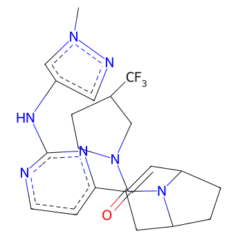 Cn1cc(Nc2nccc(C3=CC4CCC(C3)N4C(=O)N3CCC(C(F)(F)F)C3)n2)cn1